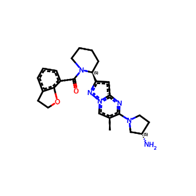 Cc1cn2nc([C@@H]3CCCCN3C(=O)c3cccc4c3OCC4)cc2nc1N1CC[C@H](N)C1